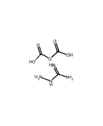 N=C(N)NN.O=C(O)OC(=O)O